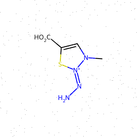 CN1C=C(C(=O)O)S[N+]1=NN